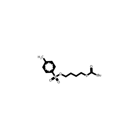 Cc1ccc(S(=O)(=O)OCCCCSC(=O)C(C)(C)C)cc1